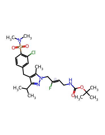 Cc1c(Cc2ccc(S(=O)(=O)N(C)C)c(Cl)c2)c(C(C)C)nn1C/C(F)=C/CNC(=O)OC(C)(C)C